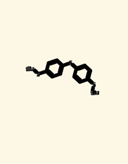 CC(C)(C)Sc1ccc(Sc2ccc(SC(C)(C)C)cc2)cc1